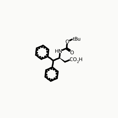 CC(C)(C)OC(=O)N[C@@H](CC(=O)O)C(c1ccccc1)c1ccccc1